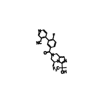 C[C@H]1CN(C(=O)c2ccc(F)c(-c3ccncc3C#N)c2)Cc2cnc(C(C)(O)C(F)(F)F)n21